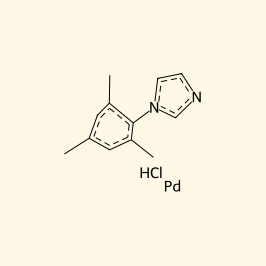 Cc1cc(C)c(-n2ccnc2)c(C)c1.Cl.[Pd]